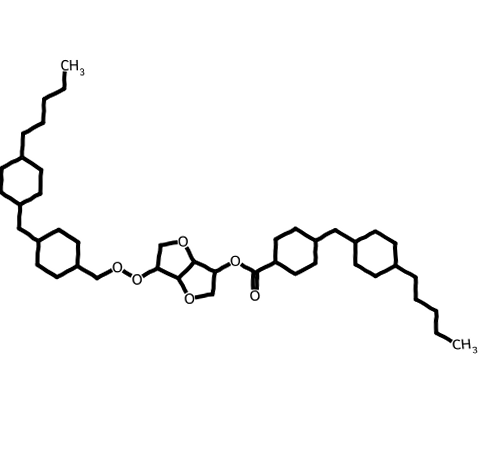 CCCCCC1CCC(CC2CCC(COOC3COC4C(OC(=O)C5CCC(CC6CCC(CCCCC)CC6)CC5)COC34)CC2)CC1